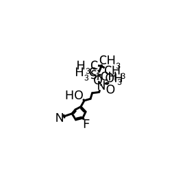 CC(C)(C)[Si](C)(C)ON(CCCC(O)c1cc(F)cc(C#N)c1)C(=O)O